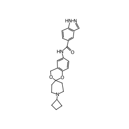 O=C(Nc1ccc2c(c1)COC1(CCN(C3CCC3)CC1)O2)c1ccc2[nH]ncc2c1